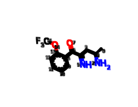 C[C@@H](N)CC(=N)C(=O)c1ccccc1OC(F)(F)F